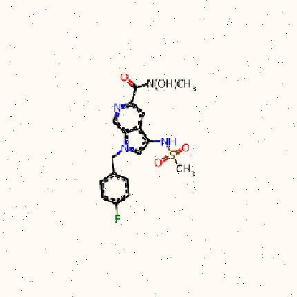 CN(O)C(=O)c1cc2c(NS(C)(=O)=O)cn(Cc3ccc(F)cc3)c2cn1